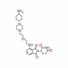 N[C@H]1CC[C@H](N2CCN(CCOCCNc3cccc4c3C(=O)N(C3CCC(=O)NC3=O)C4=O)CC2)CC1